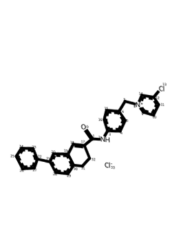 O=C(Nc1ccc(C[n+]2cccc(Cl)c2)cc1)C1=Cc2cc(-c3ccccc3)ccc2CC1.[Cl-]